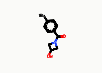 CC(C)(C)c1ccc(C(=O)N2CC(O)C2)cc1